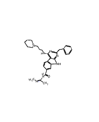 C/N=C(/C)NC(=O)c1ccc2c(c1)[nH]c1nc(Cc3ccccc3)nc(NCCCN3CCCCC3)c12